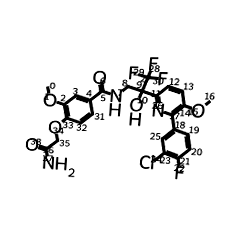 COc1cc(C(=O)NCC(O)(c2ccc(OC)c(-c3ccc(F)c(Cl)c3)n2)C(F)(F)F)ccc1OCC(N)=O